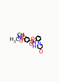 CN(C)S(=O)(=O)c1ccc(S(=O)(=O)Nc2ccccc2N2CCC(=O)CC2)cc1